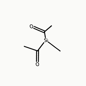 CC(=O)[Si](C)C(C)=O